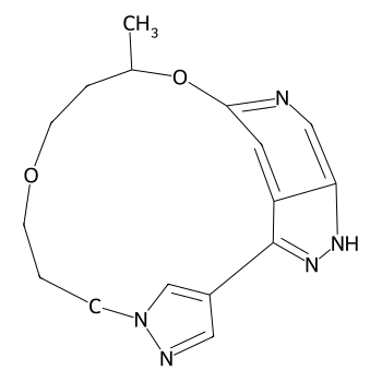 CC1CCOCCCn2cc(cn2)-c2n[nH]c3cnc(cc23)O1